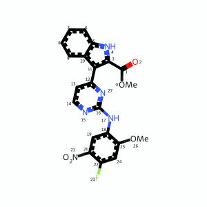 COC(=O)c1[nH]c2ccccc2c1-c1ccnc(Nc2cc([N+](=O)[O-])c(F)cc2OC)n1